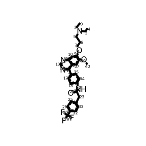 CCN(CC)CCCOc1cc2ncnc(-c3ccc(NC(=O)Cc4ccc(C(F)(F)F)cc4)cc3)c2cc1OC